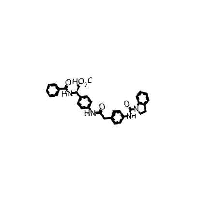 O=C(O)C[C@H](NC(=O)c1ccccc1)c1ccc(NC(=O)Cc2ccc(NC(=O)N3CCc4ccccc43)cc2)cc1